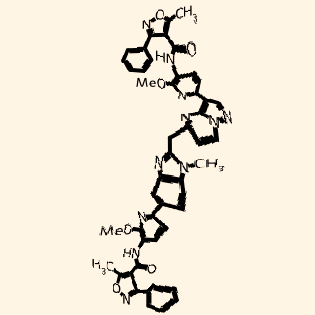 COc1nc(-c2ccc3c(c2)nc(Cc2ccn4ncc(-c5ccc(NC(=O)c6c(-c7ccccc7)noc6C)c(OC)n5)c4n2)n3C)ccc1NC(=O)c1c(-c2ccccc2)noc1C